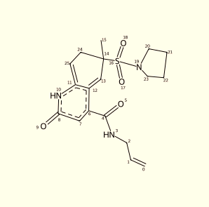 C=CCNC(=O)c1cc(=O)[nH]c2c1=CC(C)(S(=O)(=O)N1CCCC1)CC=2